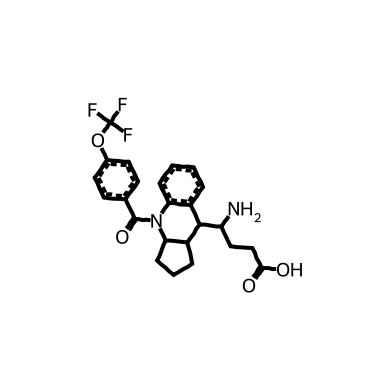 NC(CCC(=O)O)C1c2ccccc2N(C(=O)c2ccc(OC(F)(F)F)cc2)C2CCCC12